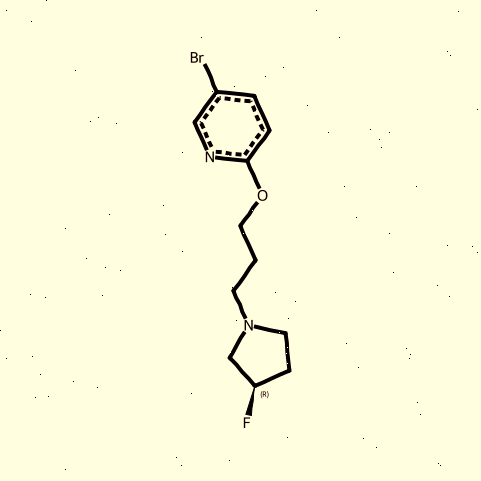 F[C@@H]1CCN(CCCOc2ccc(Br)cn2)C1